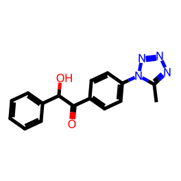 Cc1nnnn1-c1ccc(C(=O)C(O)c2ccccc2)cc1